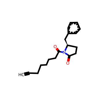 C#CCCCCCC(=O)N1C(=O)CC[C@@H]1Cc1ccccc1